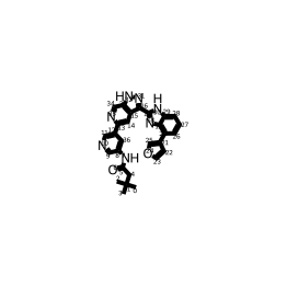 CC(C)(C)CC(=O)Nc1cncc(-c2cc3c(-c4nc5c(-c6ccoc6)cccc5[nH]4)n[nH]c3cn2)c1